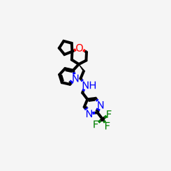 FC(F)(F)c1ncc(CNCC[C@]2(c3ccccn3)CCOC3(CCCC3)C2)cn1